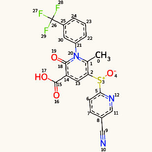 Cc1c([S+]([O-])c2ccc(C#N)cn2)cc(C(=O)O)c(=O)n1-c1cccc(C(F)(F)F)c1